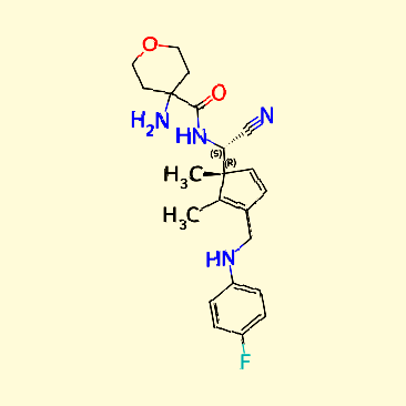 CC1=C(CNc2ccc(F)cc2)C=C[C@@]1(C)[C@@H](C#N)NC(=O)C1(N)CCOCC1